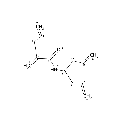 C=CCC(=C)C(=O)NN(CC=C)CC=C